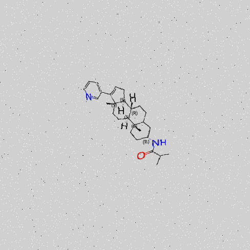 CC(C)C(=O)N[C@@H]1CC[C@@]2(C)C(CC[C@@H]3[C@@H]2CC[C@]2(C)C(c4cccnc4)=CC[C@@H]32)C1